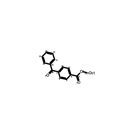 CCCCCCCCOC(=O)c1ccc(C(=O)c2ccccc2)cc1